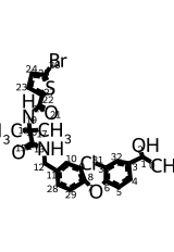 CC(O)c1ccc(Oc2ccc(CNC(=O)C(C)(C)NC(=O)c3ccc(Br)s3)cc2)c(Cl)c1